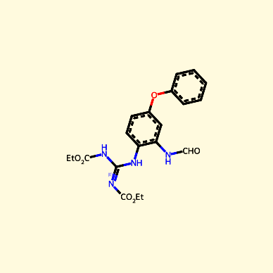 CCOC(=O)/N=C(/NC(=O)OCC)Nc1ccc(Oc2ccccc2)cc1NC=O